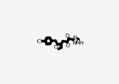 O=C(Cc1ccoc1Cc1ccc(Cl)cc1)C(=O)c1nc[nH]n1